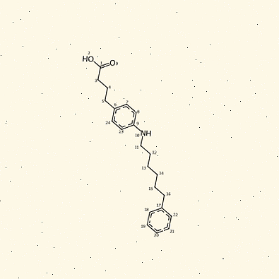 O=C(O)CCCc1ccc(NCCCCCCc2ccccc2)cc1